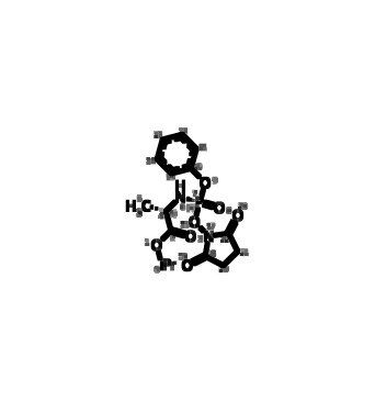 CC(C)OC(=O)[C@H](C)N[P@@](=O)(Oc1ccccc1)ON1C(=O)CCC1=O